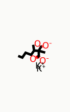 CCCCC(C)C(C)(C(=O)[O-])C(=O)[O-].[K+].[K+]